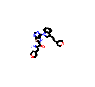 N=C(CC1CCOCC1)C(=O)c1nc2c(N3CC(CCC4CCOCC4)c4c#cccc43)ncnc2s1